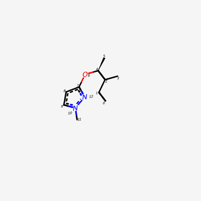 CCC(C)[C@H](C)Oc1ccn(C)n1